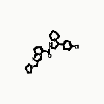 O=C(NCC(c1ccc(Cl)cc1)N1CCCCC1)c1cccc2nc(CN3CCCC3)cn12